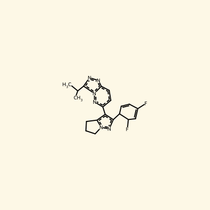 CC(C)c1nnc2ccc(-c3c(C4C=CC(F)=CC4F)nn4c3CCC4)nn12